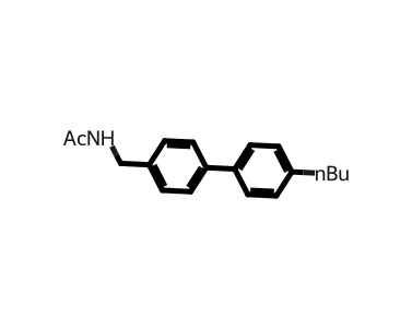 CCCCc1ccc(-c2ccc(CNC(C)=O)cc2)cc1